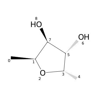 C[C@@H]1O[C@@H](C)[C@@H](O)[C@@H]1O